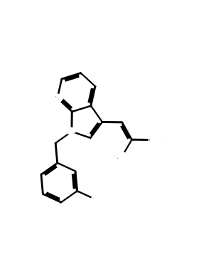 Cc1cccc(Cn2cc(/C=C(\C#N)C(=O)O)c3cccnc32)c1